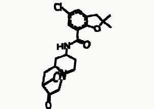 CC1(C)Cc2cc(Cl)cc(C(=O)NC3CC4CC5CC(C3)N4CC5=O)c2O1